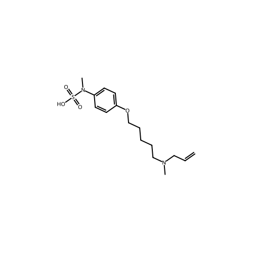 C=CCN(C)CCCCCOc1ccc(N(C)S(=O)(=O)O)cc1